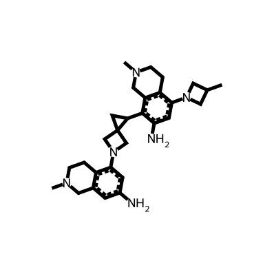 CC1CN(c2cc(N)c(C3CC34CN(c3cc(N)cc5c3CCN(C)C5)C4)c3c2CCN(C)C3)C1